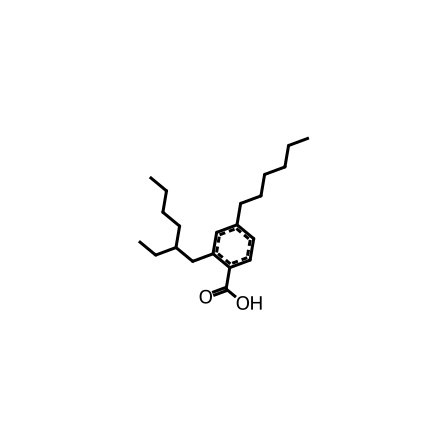 CCCCCCc1ccc(C(=O)O)c(CC(CC)CCCC)c1